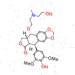 COc1cc([C@@H]2c3cc4c(cc3[C@@H](OCCN(C)CCO)[C@H]3COC(=O)[C@H]23)OCO4)cc(OC)c1O